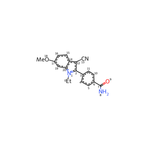 CCn1c(-c2ccc(C(N)=O)cc2)c(C#N)c2ccc(OC)cc21